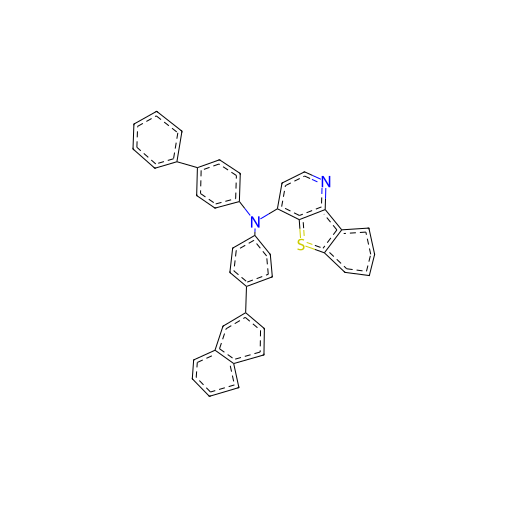 c1ccc(-c2ccc(N(c3ccc(-c4ccc5ccccc5c4)cc3)c3ccnc4c3sc3ccccc34)cc2)cc1